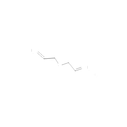 C.C=CCOCC=C